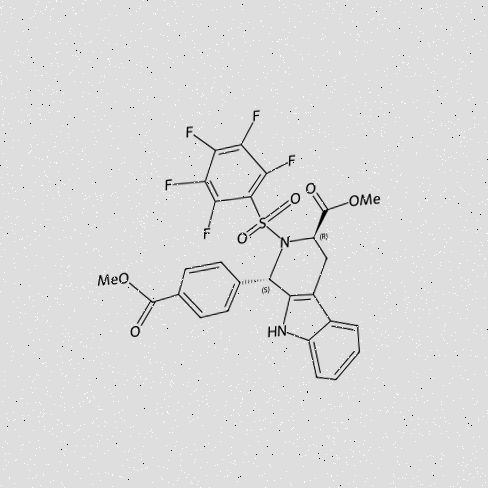 COC(=O)c1ccc([C@H]2c3[nH]c4ccccc4c3C[C@H](C(=O)OC)N2S(=O)(=O)c2c(F)c(F)c(F)c(F)c2F)cc1